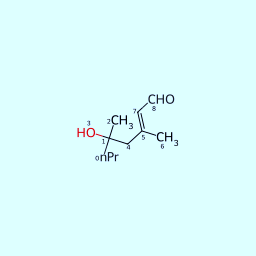 CCCC(C)(O)CC(C)=CC=O